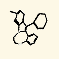 Cc1ccc2c(C3CCCCC3)c3n(c2c1)CCOc1ccccc1-3